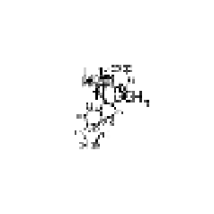 CC1=Nc2c(ccc3c4c(ccc23)CCC=C4)OC12N(C)CCCC2(C)C